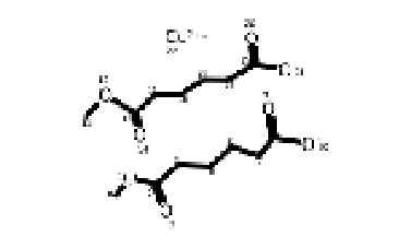 COC(=O)CCCCC(=O)[O-].COC(=O)CCCCC(=O)[O-].[Cu+2]